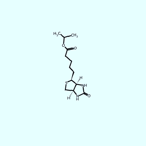 CC(C)OC(=O)CCCC[C@@H]1SC[C@@H]2NC(=O)N[C@@H]21